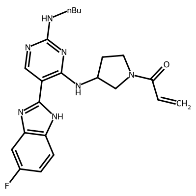 C=CC(=O)N1CCC(Nc2nc(NCCCC)ncc2-c2nc3cc(F)ccc3[nH]2)C1